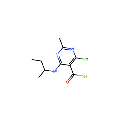 CCC(C)Nc1nc(C)nc(Cl)c1C(=O)S